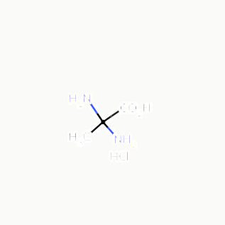 CC(N)(N)C(=O)O.Cl